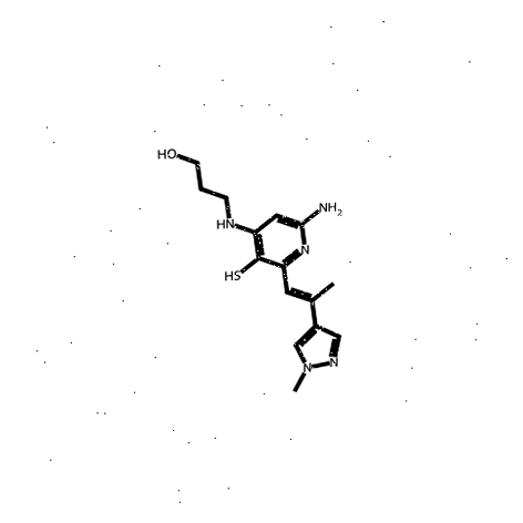 C/C(=C\c1nc(N)cc(NCCCO)c1S)c1cnn(C)c1